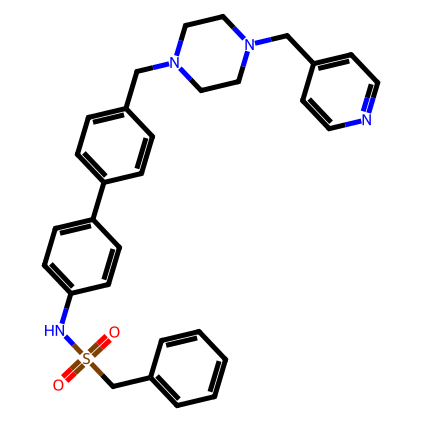 O=S(=O)(Cc1ccccc1)Nc1ccc(-c2ccc(CN3CCN(Cc4ccncc4)CC3)cc2)cc1